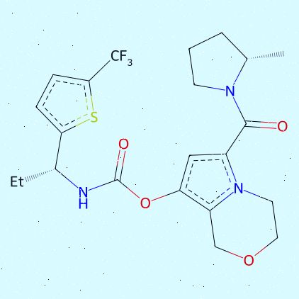 CC[C@@H](NC(=O)Oc1cc(C(=O)N2CCC[C@@H]2C)n2c1COCC2)c1ccc(C(F)(F)F)s1